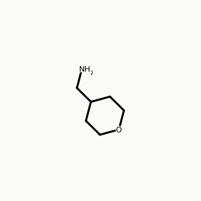 NC[C]1CCOCC1